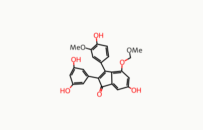 COCOc1cc(O)cc2c1C(c1ccc(O)c(OC)c1)=C(c1cc(O)cc(O)c1)C2=O